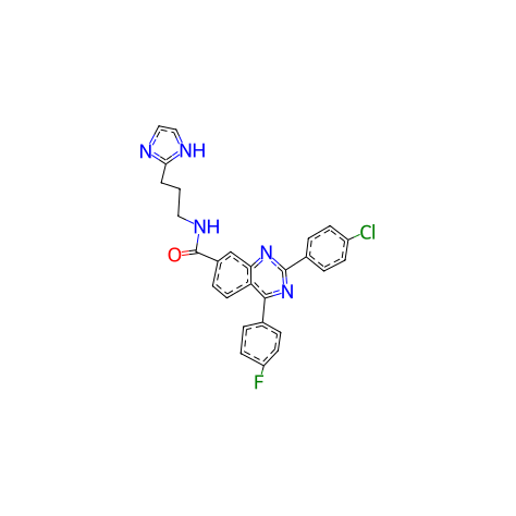 O=C(NCCCc1ncc[nH]1)c1ccc2c(-c3ccc(F)cc3)nc(-c3ccc(Cl)cc3)nc2c1